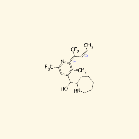 C=c1c(C(O)C2CCCCCN2)cc(C(F)(F)F)n/c1=C(/C=C\C)C(F)(F)F